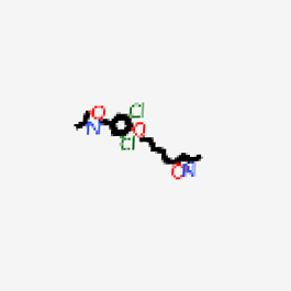 Cc1cc(CCCCCOc2c(Cl)cc(C3=NC(C)CO3)cc2Cl)on1